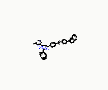 C=C/C=C(\C=C/C)c1cc(-c2ccc(C(C)(C)c3ccc(-c4ccc5ccccc5c4)cc3)cc2)nc(-c2ccccc2)n1